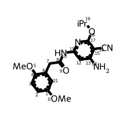 COc1ccc(OC)c(CC(=O)Nc2cc(N)c(C#N)c(OC(C)C)n2)c1